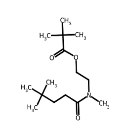 CN(CCOC(=O)C(C)(C)C)C(=O)CCC(C)(C)C